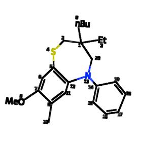 CCCCC1(CC)CSc2cc(OC)c(C)cc2N(c2ccccc2)C1